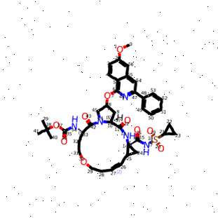 COc1ccc2c(OC3C[C@H]4C(=O)N[C@]5(C(=O)NS(=O)(=O)C6CC6)CC5/C=C\CCOCC[C@H](NC(=O)OC(C)(C)C)C(=O)N4C3)nc(-c3ccccc3)cc2c1